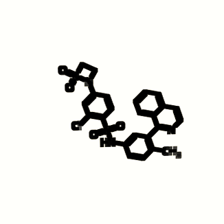 Cc1ccc(NS(=O)(=O)c2ccc(N3CCS3(=O)=O)cc2Cl)cc1-c1nccc2ccccc12